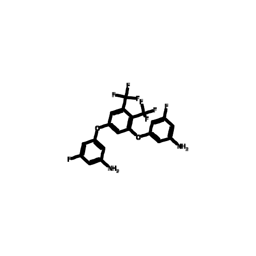 Nc1cc(F)cc(Oc2cc(Oc3cc(N)cc(F)c3)c(C(F)(F)F)c(C(F)(F)F)c2)c1